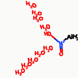 O.O.O.O.O.O.O.O.O.O=[N+](O)[AlH2-]